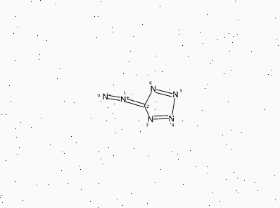 [N-]=[N+]=C1N=NN=N1